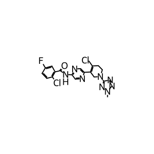 Cn1nnc(N2CCC(Cl)=C(c3cnc(NC(=O)c4cc(F)ccc4Cl)cn3)C2)n1